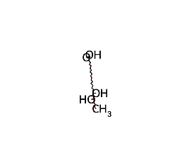 CCCCCC(O)CCC(O)CCCCCCCCCCCCCCCCCCC(=O)O